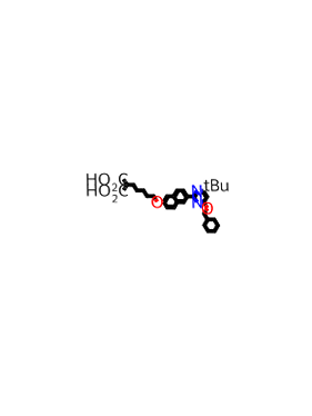 CC(C)(C)c1cc(OCC2CCCCC2)nc(-c2ccc3cc(OCCCCCC(C(=O)O)C(=O)O)ccc3c2)n1